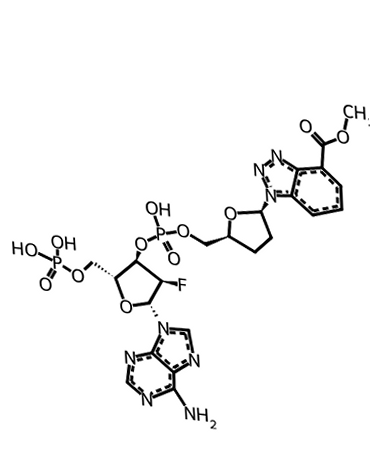 COC(=O)c1cccc2c1nnn2[C@H]1CC[C@@H](COP(=O)(O)O[C@H]2[C@@H](F)[C@H](n3cnc4c(N)ncnc43)O[C@@H]2COP(=O)(O)O)O1